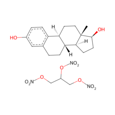 C[C@]12CC[C@@H]3c4ccc(O)cc4CC[C@H]3[C@@H]1CC[C@@H]2O.O=[N+]([O-])OCC(CO[N+](=O)[O-])O[N+](=O)[O-]